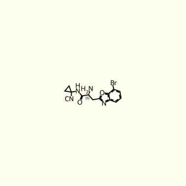 N#CC1(NC(=O)[C@@H](N)Cc2nc3cccc(Br)c3o2)CC1